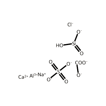 O=C([O-])[O-].O=S(=O)([O-])[O-].O=[Si]([O-])O.[Al+3].[Ca+2].[Cl-].[Na+]